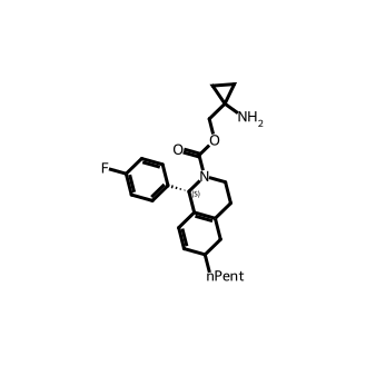 CCCCCC1C=CC2=C(CCN(C(=O)OCC3(N)CC3)[C@H]2c2ccc(F)cc2)C1